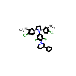 O=[N+]([O-])c1cc([C@H]2CC[C@H](c3ccc(Cl)c([N+](=O)[O-])c3)N2c2cc(F)c(N3CCCC(c4ccccc4)C3)c(F)c2)ccc1Cl